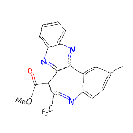 COC(=O)C1C(C(F)(F)F)=Nc2ccc(C)cc2-c2nc3ccccc3nc21